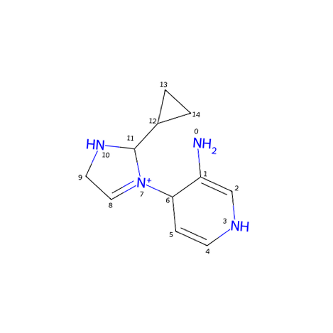 NC1=CNC=CC1[N+]1=CCNC1C1CC1